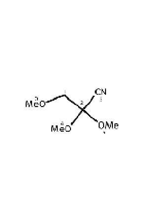 COCC(C#N)(OC)OC